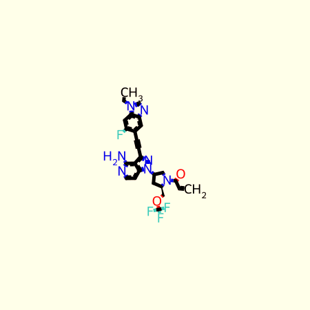 C=CC(=O)N1CC(n2nc(C#Cc3cc4ncn(CC)c4cc3F)c3c(N)nccc32)C[C@@H]1COC(F)(F)F